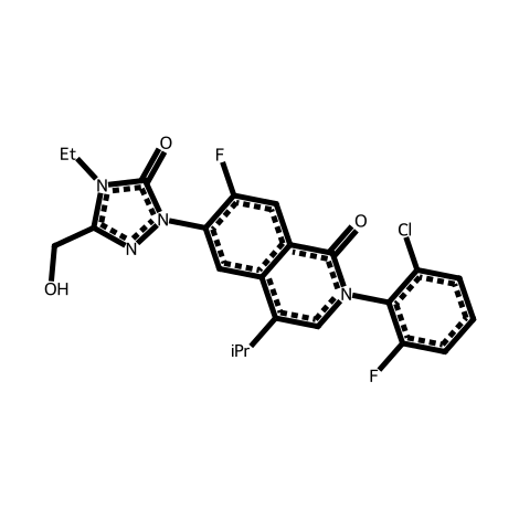 CCn1c(CO)nn(-c2cc3c(C(C)C)cn(-c4c(F)cccc4Cl)c(=O)c3cc2F)c1=O